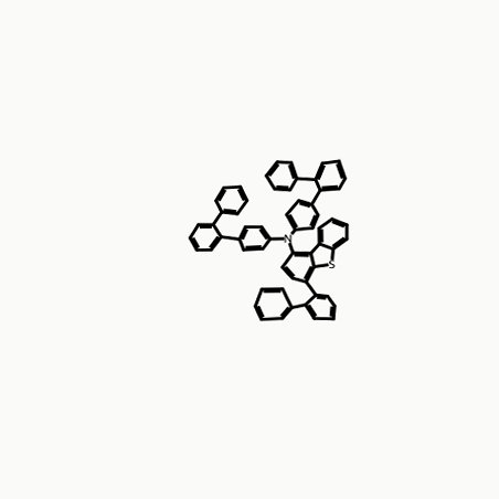 c1ccc(-c2ccccc2-c2ccc(N(c3ccc(-c4ccccc4-c4ccccc4)cc3)c3ccc(-c4ccccc4-c4ccccc4)c4sc5ccccc5c34)cc2)cc1